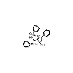 N[C@](C=O)(CCc1ccccc1)C(=O)[C@H](Cc1ccccc1)NS(=O)(=O)c1ccccc1